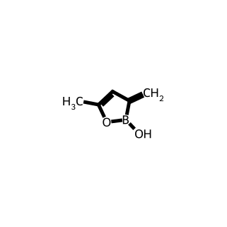 C=C1C=C(C)OB1O